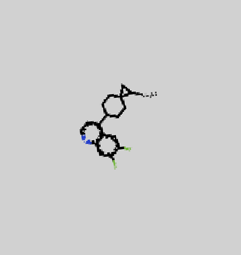 CCOC(=O)C1CC12CCC(c1ccnc3cc(F)c(F)cc13)CC2